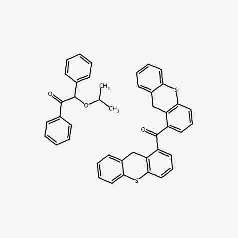 CC(C)OC(C(=O)c1ccccc1)c1ccccc1.O=C(c1cccc2c1Cc1ccccc1S2)c1cccc2c1Cc1ccccc1S2